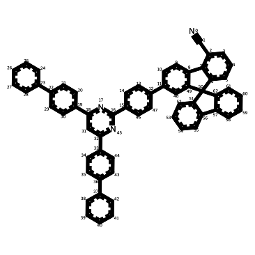 N#Cc1cccc2c1-c1ccc(-c3ccc(-c4nc(-c5ccc(-c6ccccc6)cc5)cc(-c5ccc(-c6ccccc6)cc5)n4)cc3)cc1C21c2ccccc2-c2ccccc21